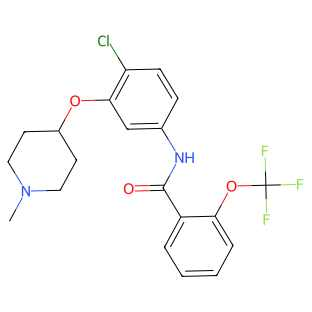 CN1CCC(Oc2cc(NC(=O)c3ccccc3OC(F)(F)F)ccc2Cl)CC1